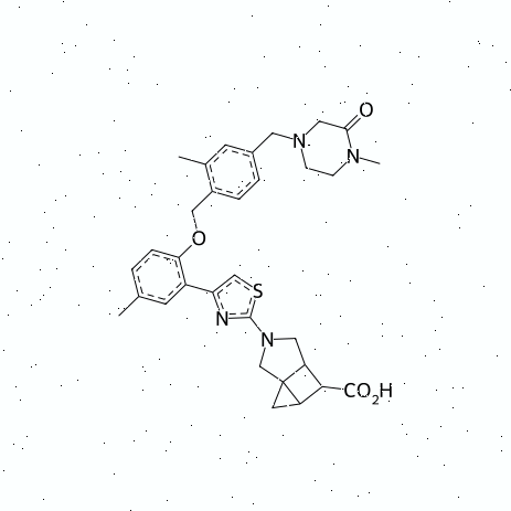 Cc1ccc(OCc2ccc(CN3CCN(C)C(=O)C3)cc2C)c(-c2csc(N3CC4C(C(=O)O)C5CC45C3)n2)c1